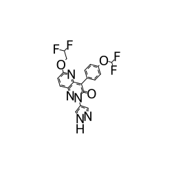 O=c1c(-c2ccc(OC(F)F)cc2)c2nc(OCC(F)F)ccc2nn1-c1cn[nH]c1